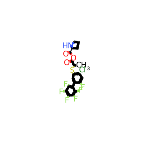 CC(Sc1cc(-c2c(F)c(F)c(F)c(F)c2F)c(F)cc1Cl)C(=O)OC(=O)[C@@H]1CCCN1